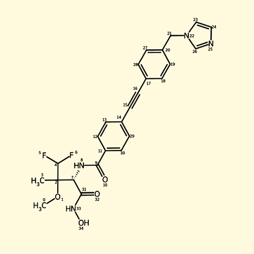 COC(C)(C(F)F)[C@H](NC(=O)c1ccc(C#Cc2ccc(Cn3ccnc3)cc2)cc1)C(=O)NO